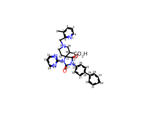 Cc1cccnc1CN1CCC2(C(=O)N(c3ccc(-c4ccccc4)cc3)C(=O)N2c2ncccn2)C(C(=O)O)C1